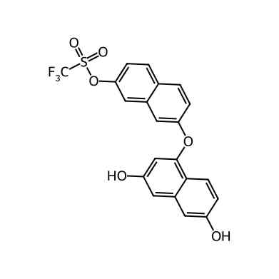 O=S(=O)(Oc1ccc2ccc(Oc3cc(O)cc4cc(O)ccc34)cc2c1)C(F)(F)F